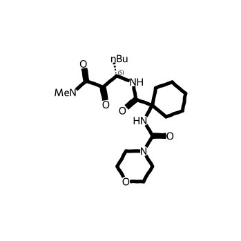 CCCC[C@H](NC(=O)C1(NC(=O)N2CCOCC2)CCCCC1)C(=O)C(=O)NC